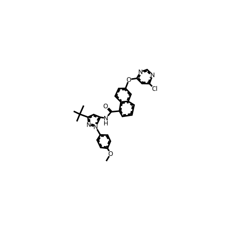 COc1ccc(-n2nc(C(C)(C)C)cc2NC(=O)c2cccc3cc(Oc4cc(Cl)ncn4)ccc23)cc1